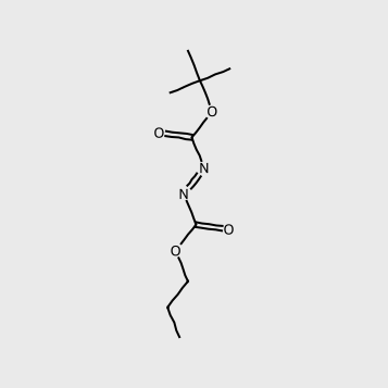 CCCOC(=O)N=NC(=O)OC(C)(C)C